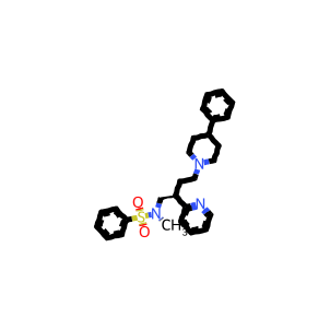 CN(C[C@@H](CCN1CCC(c2ccccc2)CC1)c1ccccn1)S(=O)(=O)c1ccccc1